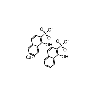 O=S(=O)([O-])c1ccc2ccccc2c1O.O=S(=O)([O-])c1ccc2ccccc2c1O.[Ca+2]